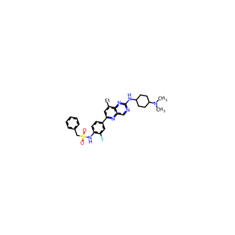 CCc1cc(-c2ccc(NS(=O)(=O)Cc3ccccc3)c(F)c2)nc2cnc(NC3CCC(N(C)C)CC3)nc12